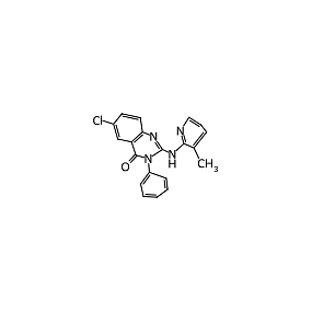 Cc1cccnc1Nc1nc2ccc(Cl)cc2c(=O)n1-c1ccccc1